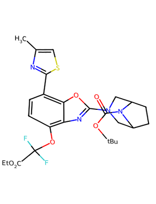 CCOC(=O)C(F)(F)Oc1ccc(-c2nc(C)cs2)c2oc(N3CC4CCC(C3)N4C(=O)OC(C)(C)C)nc12